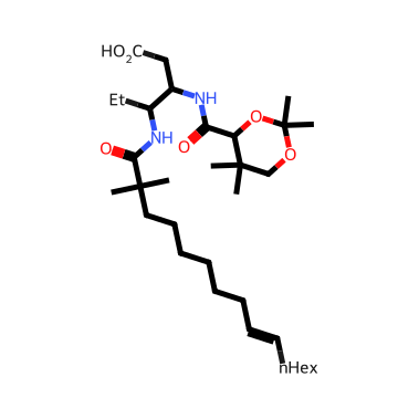 CCCCCC/C=C/CCCCCCC(C)(C)C(=O)NC(CC)C(CC(=O)O)NC(=O)C1OC(C)(C)OCC1(C)C